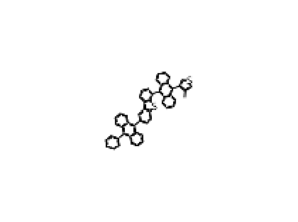 Cc1cscc1-c1c2ccccc2c(-c2cccc3c2sc2ccc(-c4c5ccccc5c(-c5ccccc5)c5ccccc45)cc23)c2ccccc12